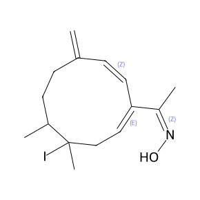 C=C1\C=C/C(C(/C)=N\O)=C\CC(C)(I)C(C)CC1